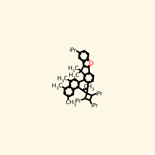 Cc1cc(C)c2c(C)cc3c(c2c1)C1(C)C(c2ccc4c(c2-3)C(C)(C)c2c-4oc3ccc(C(C)C)cc23)C12C(C(C)C)C(C(C)C)C2C(C)C